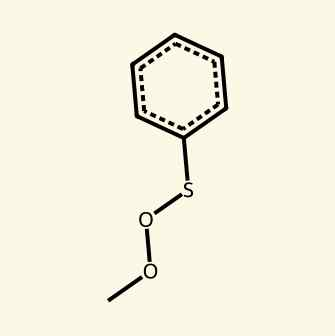 COOSc1ccccc1